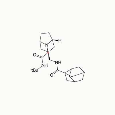 CC(C)(C)NC(=O)CN1C2CC[C@@H]1C[C@@H](CNC(=O)C13CC4CC(CC1C4)C3)C2